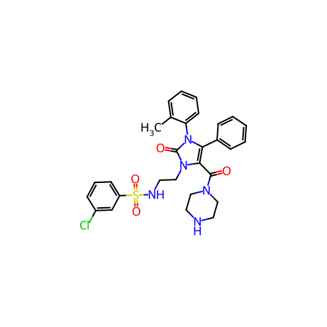 Cc1ccccc1-n1c(-c2ccccc2)c(C(=O)N2CCNCC2)n(CCNS(=O)(=O)c2cccc(Cl)c2)c1=O